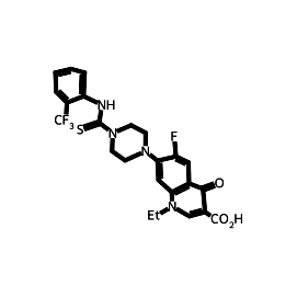 CCn1cc(C(=O)O)c(=O)c2cc(F)c(N3CCN(C(=S)Nc4ccccc4C(F)(F)F)CC3)cc21